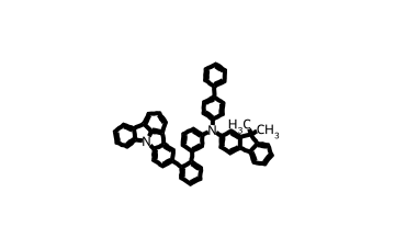 CC1(C)c2ccccc2-c2ccc(N(c3ccc(-c4ccccc4)cc3)c3cccc(-c4ccccc4-c4ccc5c(c4)c4cccc6c7ccccc7n5c64)c3)cc21